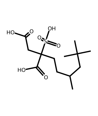 CC(CCC(CC(=O)O)(C(=O)O)S(=O)(=O)O)CC(C)(C)C